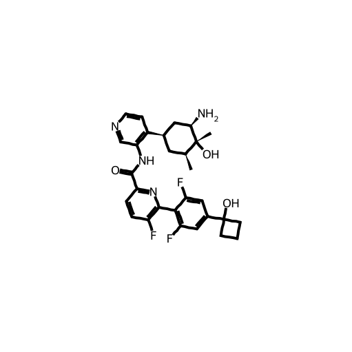 C[C@H]1C[C@@H](c2ccncc2NC(=O)c2ccc(F)c(-c3c(F)cc(C4(O)CCC4)cc3F)n2)C[C@@H](N)[C@]1(C)O